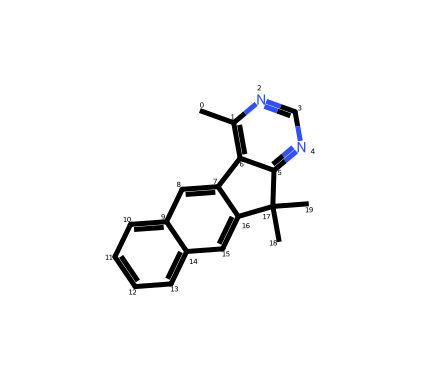 Cc1ncnc2c1-c1cc3ccccc3cc1C2(C)C